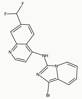 FC(F)c1ccc2c(Nc3nc(Br)c4ccccn34)ccnc2c1